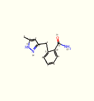 Cc1cc(Cc2ccccc2C(N)=O)n[nH]1